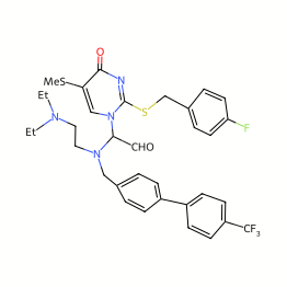 CCN(CC)CCN(Cc1ccc(-c2ccc(C(F)(F)F)cc2)cc1)C(C=O)n1cc(SC)c(=O)nc1SCc1ccc(F)cc1